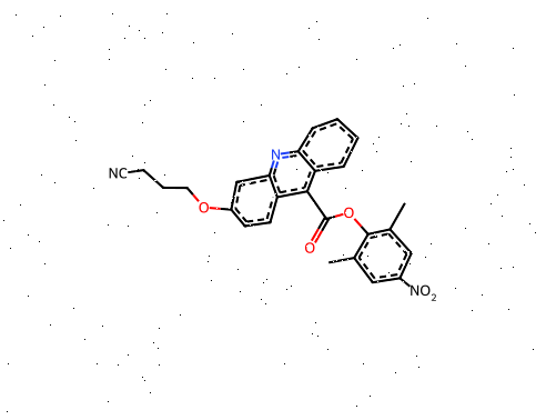 Cc1cc([N+](=O)[O-])cc(C)c1OC(=O)c1c2ccccc2nc2cc(OCCCC#N)ccc12